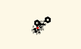 O=S(=O)(NS(=O)(=O)C(F)(F)C(F)(F)Sc1ccccc1)C(F)(F)C(F)(F)Sc1ccccc1